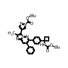 Cc1nc2cc(-c3ccccc3)c(-c3ccc(C4(NC(=O)OC(C)(C)C)CCC4)cc3)nn2c1-c1cnn(C(=O)OC(C)(C)C)c1